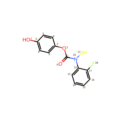 O=C(Oc1ccc(O)cc1)N(S)c1ccccc1F